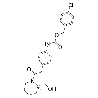 O=C(Nc1ccc(CC(=O)N2CCCC[C@H]2CO)cc1)OCc1ccc(Cl)cc1